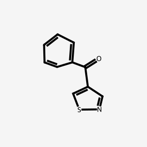 O=C(c1ccccc1)c1cnsc1